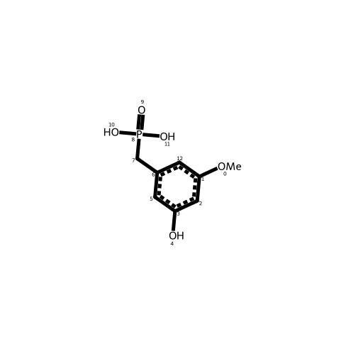 COc1cc(O)cc(CP(=O)(O)O)c1